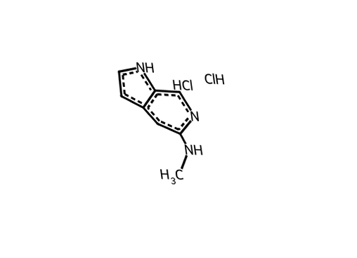 CNc1cc2cc[nH]c2cn1.Cl.Cl